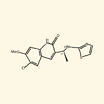 COc1cc2[nH]c(=O)c([C@H](C)Nc3nccs3)cc2cc1Cl